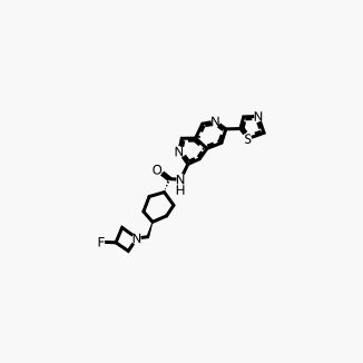 O=C(Nc1cc2cc(-c3cncs3)ncc2cn1)[C@H]1CC[C@H](CN2CC(F)C2)CC1